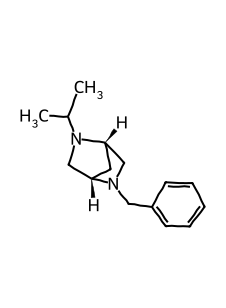 CC(C)N1C[C@@H]2C[C@H]1CN2Cc1ccccc1